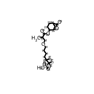 C=C(COCCCCC(F)(F)C(F)(F)S(=O)(=O)O)C(=O)OC1CCC2CC1OC2=O